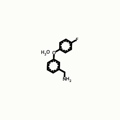 NCc1cccc(Oc2ccc(F)cc2)c1.O